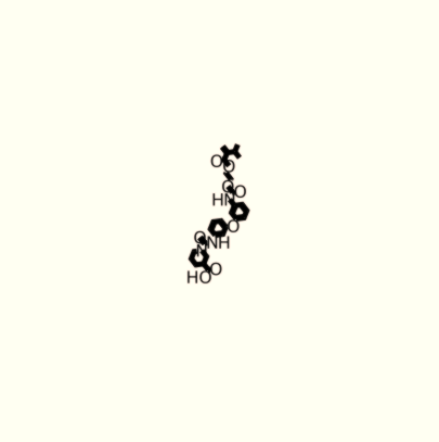 C=C(C(=O)OCCOC(=O)Nc1cccc(Oc2cccc(NC(=O)N3CCCC(C(=O)O)C3)c2)c1)C(C)C